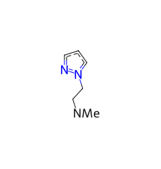 CNCCn1cccn1